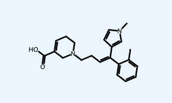 Cc1ccccc1C(=CCCN1CCC=C(C(=O)O)C1)c1ccn(C)c1